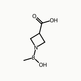 CB(O)N1CC(C(=O)O)C1